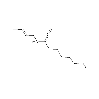 C=C=C(CCCCCCC)NC/C=C/C